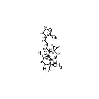 CC1(C)CCC[C@@]2(C)[C@H]1CCC1(CC1)[C@@H]2CCC=C1CCOC1=O